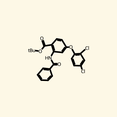 CC(C)(C)OC(=O)c1ccc(Oc2ccc(Cl)cc2Cl)cc1NC(=O)c1ccccc1